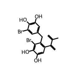 C=C(C)C(=C)c1cc(O)c(O)c(Br)c1Cc1cc(O)c(O)c(Br)c1